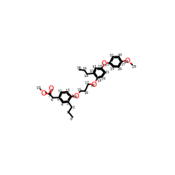 CCCc1cc(CC(=O)OC)ccc1OCCCOc1ccc(Oc2ccc(OC)cc2)cc1CCC